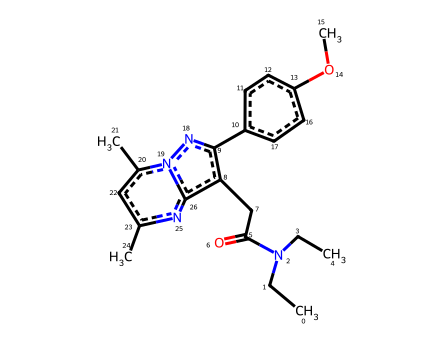 CCN(CC)C(=O)Cc1c(-c2ccc(OC)cc2)nn2c(C)cc(C)nc12